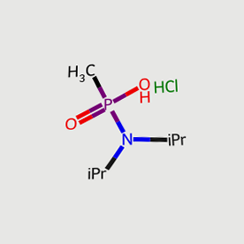 CC(C)N(C(C)C)P(C)(=O)O.Cl